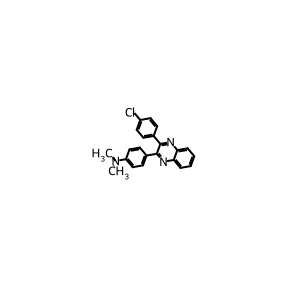 CN(C)c1ccc(-c2nc3ccccc3nc2-c2ccc(Cl)cc2)cc1